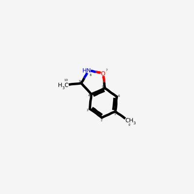 Cc1ccc2c(c1)ONC2C